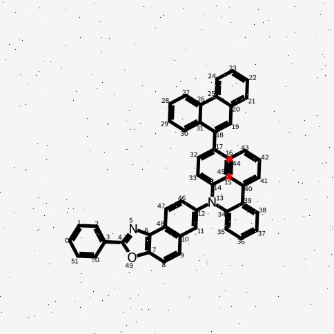 c1ccc(-c2nc3c(ccc4cc(N(c5ccc(-c6cc7ccccc7c7ccccc67)cc5)c5ccccc5-c5ccccc5)ccc43)o2)cc1